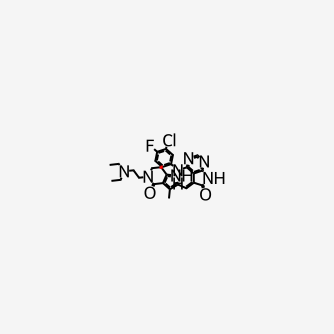 CCN(CC)CCN1CCc2[nH]c(/C=C3/C(=O)Nc4ncnc(Nc5ccc(F)c(Cl)c5)c43)c(C)c2C1=O